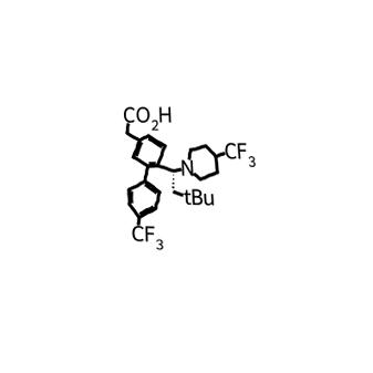 CC(C)(C)C[C@H](c1ccc(CC(=O)O)cc1-c1ccc(C(F)(F)F)cc1)N1CCC(C(F)(F)F)CC1